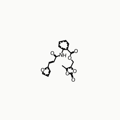 Cc1oc(=O)oc1COC(=O)c1ccccc1NC(=O)C=Cc1ccco1